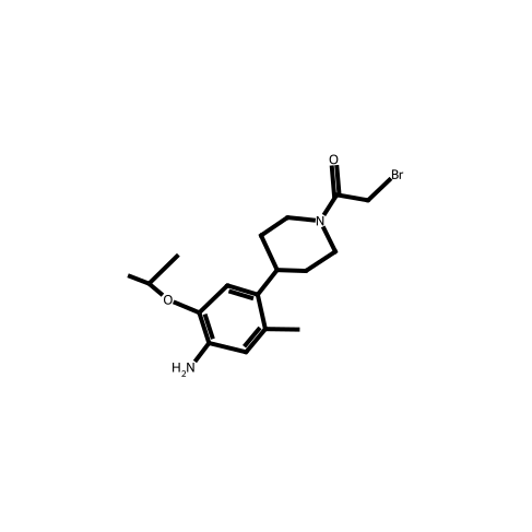 Cc1cc(N)c(OC(C)C)cc1C1CCN(C(=O)CBr)CC1